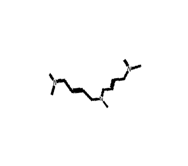 CN(C)CC=CCN(C)CC=CCN(C)C